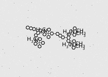 CN1c2ccccc2C(C)(C)c2cccc(-c3cccc4c(-c5ccc6cc7cc(-c8ccc(C9(c%10ccccc%10)c%10ccccc%10N(C)c%10c(-c%11cccc%12c(-c%13ccc%14cc%15ccccc%15cc%14c%13)c%13cccc(-c%14cccc%15c%14N(C)c%14ccccc%14C%15(c%14ccccc%14)c%14ccccc%14)c%13cc%11%12)cccc%109)cc8)ccc7cc6c5)c5cccc(-c6cccc7c6N(C)c6ccccc6C7(C)C)c5cc34)c21